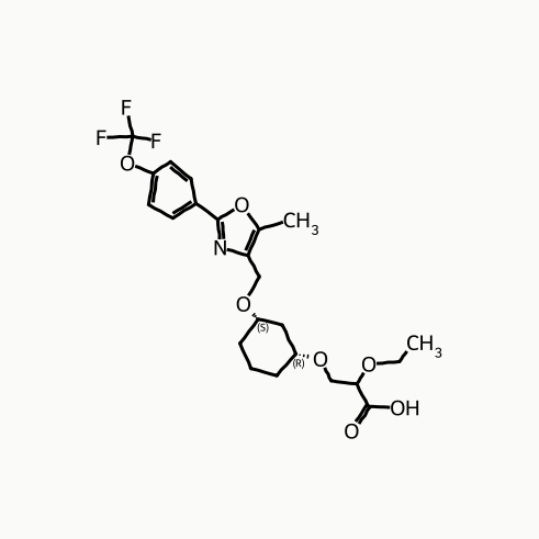 CCOC(CO[C@@H]1CCC[C@H](OCc2nc(-c3ccc(OC(F)(F)F)cc3)oc2C)C1)C(=O)O